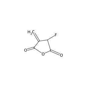 C=C1C(=O)OC(=O)C1F